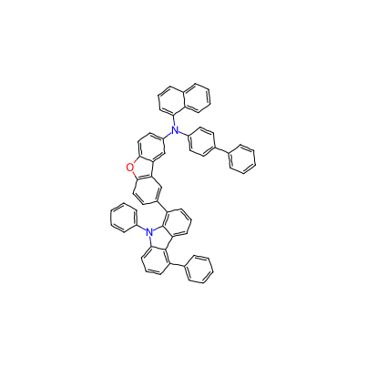 c1ccc(-c2ccc(N(c3ccc4oc5ccc(-c6cccc7c8c(-c9ccccc9)cccc8n(-c8ccccc8)c67)cc5c4c3)c3cccc4ccccc34)cc2)cc1